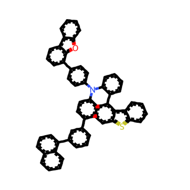 c1cc(-c2ccc(N(c3ccc(-c4cccc5c4oc4ccccc45)cc3)c3ccccc3-c3cccc4sc5ccccc5c34)cc2)cc(-c2cccc3ccccc23)c1